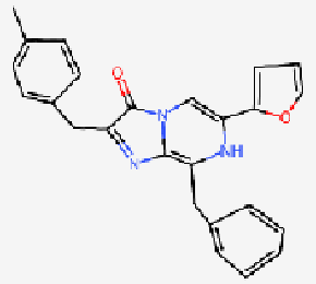 Cc1ccc(Cc2nc3c(Cc4ccccc4)[nH]c(-c4ccco4)cn-3c2=O)cc1